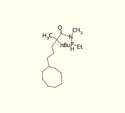 CCCCC(C)(CCCC1CCCCCCC1)C(=O)N(C)PCC